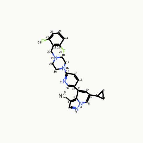 N#Cc1cnn2cc(C3CC3)cc(-c3ccc(N4CCN(Cc5c(F)cccc5F)CC4)nc3)c12